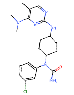 Cc1cnc(NC2CCC(N(C(N)=O)c3cccc(Cl)c3)CC2)nc1N(C)C